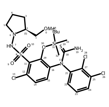 COC[C@@H]1CCCN1NS(=O)(=O)c1c(Cl)ccc(N(C(N)=S)c2cccc(Cl)c2Cl)c1O[Si](C)(C)C(C)(C)C